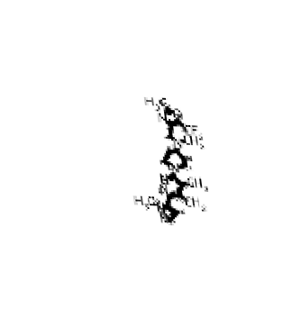 Cc1nc(CN(C)C2CCN(c3nnc(-c4ccnn4C)c(C)c3C)CC2)c(C(F)(F)F)o1